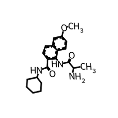 COc1ccc2c(NC(=O)C(C)N)c(C(=O)NC3CCCCC3)ccc2c1